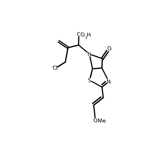 C=C(CCl)C(C(=O)O)N1C(=O)C2N=C(C=COC)SC21